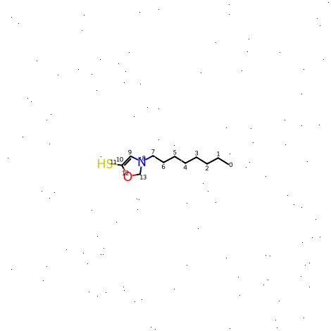 CCCCCCCCN1C=C(S)OC1